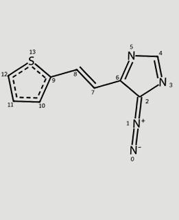 [N-]=[N+]=C1N=CN=C1C=Cc1cccs1